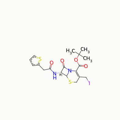 CC(C)(C)OC(=O)C1=C(CI)CSC2[C@H](NC(=O)Cc3cccs3)C(=O)N12